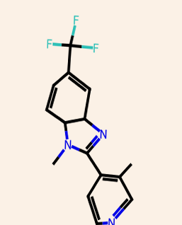 Cc1cnccc1C1=NC2C=C(C(F)(F)F)C=CC2N1C